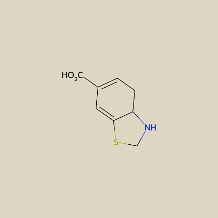 O=C(O)C1=CCC2NCSC2=C1